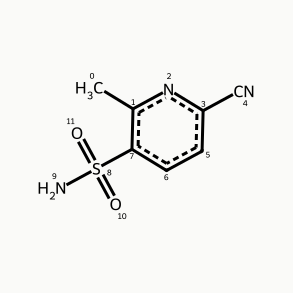 Cc1nc(C#N)ccc1S(N)(=O)=O